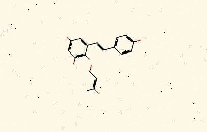 CC(C)=CCOc1c(O)cc(O)cc1C=Cc1ccc(O)cc1